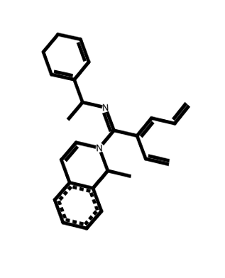 C=C/C=C(C=C)/C(=N/C(C)C1=CCCC=C1)N1C=Cc2ccccc2C1C